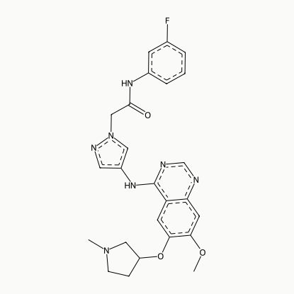 COc1cc2ncnc(Nc3cnn(CC(=O)Nc4cccc(F)c4)c3)c2cc1OC1CCN(C)C1